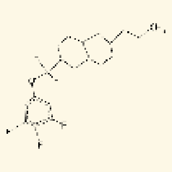 CCCC1CCC2CC(C(F)(F)Oc3cc(F)c(F)c(F)c3)CCC2C1